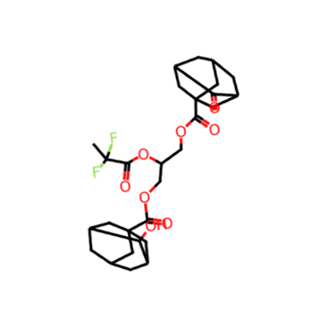 CC(F)(F)C(=O)OC(COC(=O)C12CC3CC(C1)C(=O)C(C3)C2)COC(=O)C12CC3CC(C1)C(O)C(C3)C2